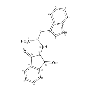 O=C(O)[C@H](Cc1c[nH]c2ccccc12)NN1C(=O)c2ccccc2C1=O